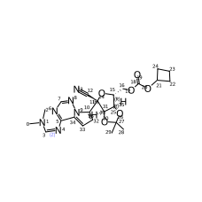 CN(C)/C=N\c1ncnn2c([C@]3(C#N)O[C@H](COC(=O)OC4CCC4)[C@H]4OC(C)(C)O[C@H]43)ccc12